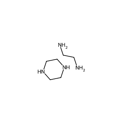 C1CNCCN1.NCCN